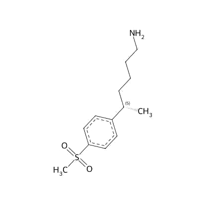 C[C@@H](CCCCN)c1ccc(S(C)(=O)=O)cc1